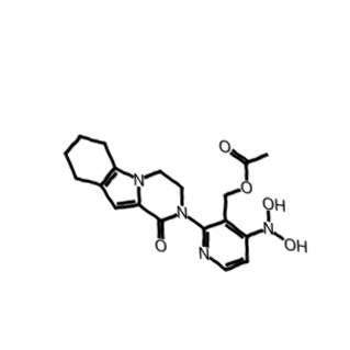 CC(=O)OCc1c(N(O)O)ccnc1N1CCn2c(cc3c2CCCC3)C1=O